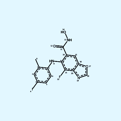 Cc1cc(I)ccc1Nc1c(C(=O)NO)cc2ocnc2c1F